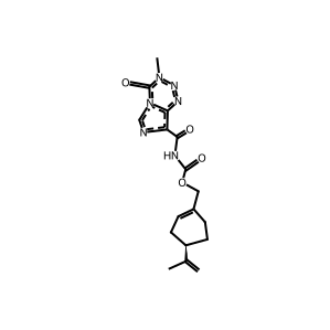 C=C(C)[C@H]1CC=C(COC(=O)NC(=O)c2ncn3c(=O)n(C)nnc23)CC1